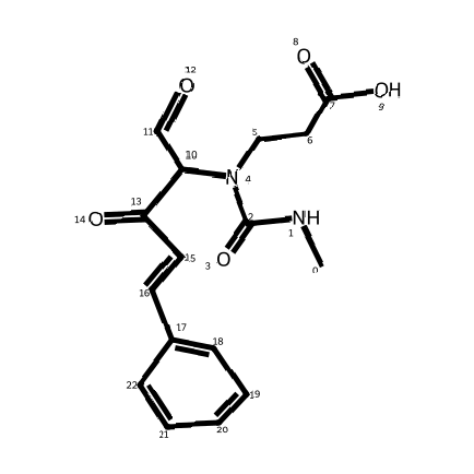 CNC(=O)N(CCC(=O)O)C([C]=O)C(=O)C=Cc1ccccc1